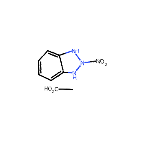 CC(=O)O.O=[N+]([O-])N1Nc2ccccc2N1